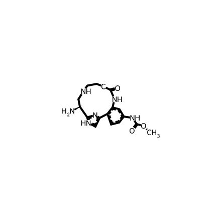 COC(=O)Nc1ccc2c(c1)NC(=O)CCCNC[C@H](N)c1nc-2c[nH]1